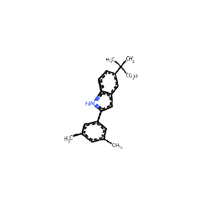 Cc1cc(C)cc(-c2cc3cc(C(C)(C)C(=O)O)ccc3[nH]2)c1